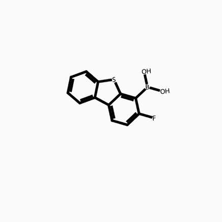 OB(O)c1c(F)ccc2c1sc1ccccc12